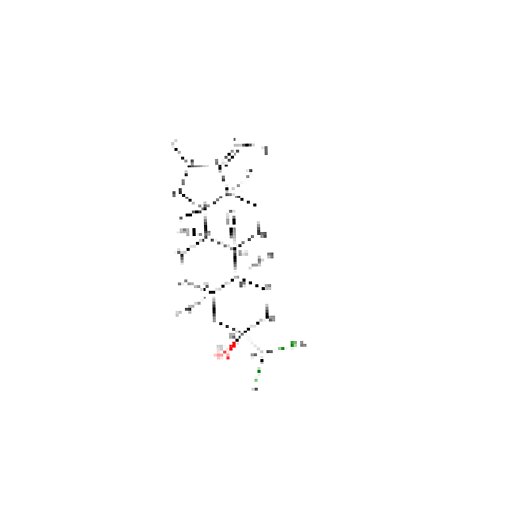 CC=C1C(C)C[C@H]2[C@@H]3CC[C@@H]4C[C@@](O)(C(F)F)CC[C@@H]4[C@H]3CC[C@]12C